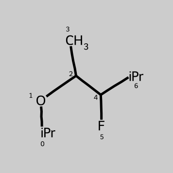 CC(C)OC(C)C(F)C(C)C